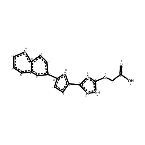 O=C(O)CSc1nc(-c2ccc(-c3ccc4ncccc4c3)o2)n[nH]1